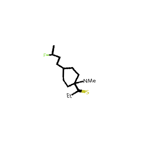 CCC(=S)C1(NC)CCC(CCC(C)F)CC1